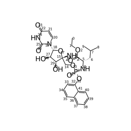 CCOC(=O)[C@H](CC(C)C)NP(=O)(OC[C@@]1(N)O[C@@H](n2ccc(=O)[nH]c2=O)[C@H](O)[C@@H]1O)Oc1cccc2ccccc12